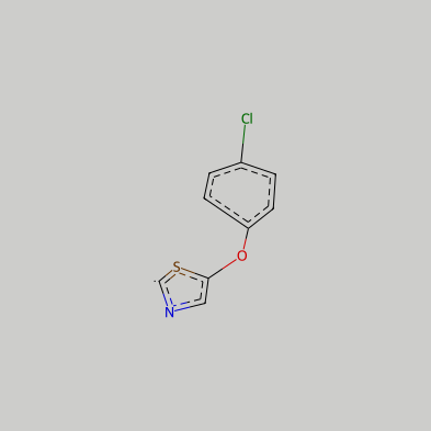 Clc1ccc(Oc2cn[c]s2)cc1